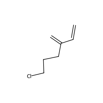 C=CC(=C)CCCCl